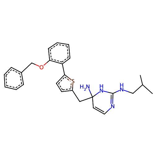 CC(C)CNC1=NC=CC(N)(Cc2ccc(-c3ccccc3OCc3ccccc3)s2)N1